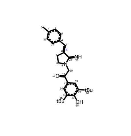 Cc1ccc(/C=C2\CCN(CC(=O)c3cc(C(C)(C)C)c(O)c(C(C)(C)C)c3)C2=N)cc1